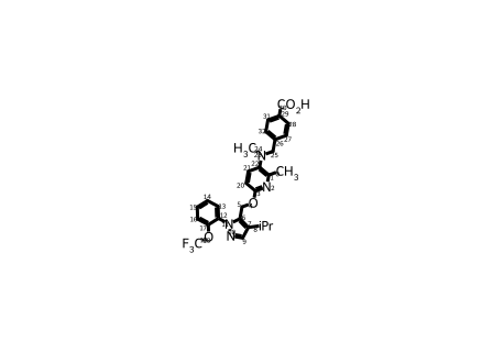 Cc1nc(OCc2c(C(C)C)cnn2-c2ccccc2OC(F)(F)F)ccc1N(C)Cc1ccc(C(=O)O)cc1